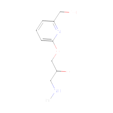 CC(C)NCC(O)COc1cccc(CO)n1